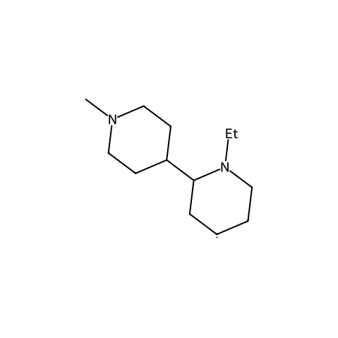 CCN1CC[CH]CC1C1CCN(C)CC1